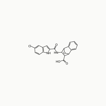 O=C(NC1C2OC(c3ccccc32)C1C(=O)O)c1cc2cc(Cl)ccc2[nH]1